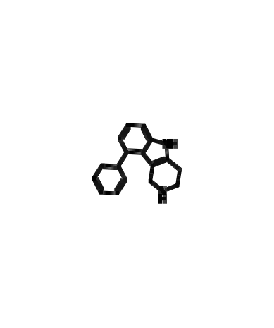 c1ccc(-c2cccc3[nH]c4c(c23)CNCC4)cc1